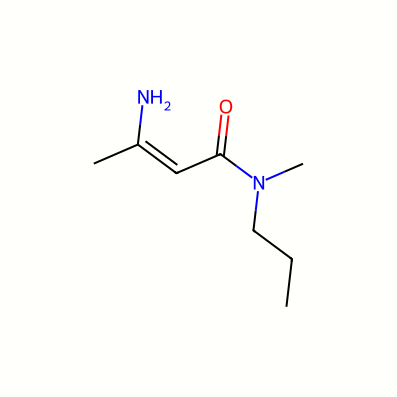 CCCN(C)C(=O)/C=C(/C)N